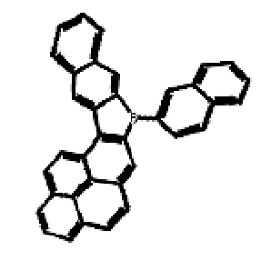 c1ccc2cc(B3c4cc5ccccc5cc4-c4c3cc3ccc5cccc6ccc4c3c56)ccc2c1